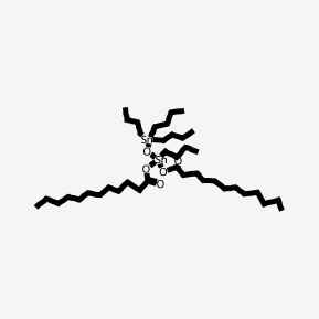 CCCCCCCCCCCC(=O)[O][Sn]([CH2]CCC)([O]C(=O)CCCCCCCCCCC)[O][Sn]([CH2]CCC)([CH2]CCC)[CH2]CCC